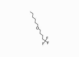 CCCCCCOCCCCC(F)(F)F